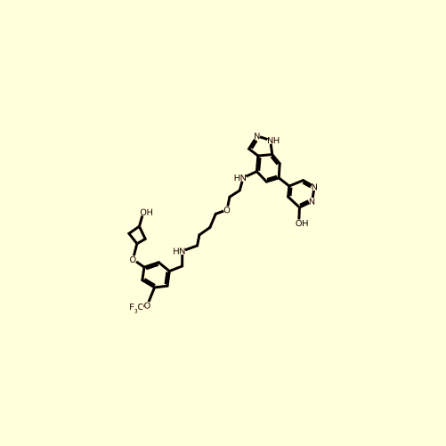 Oc1cc(-c2cc(NCCOCCCCNCc3cc(OC4CC(O)C4)cc(OC(F)(F)F)c3)c3cn[nH]c3c2)cnn1